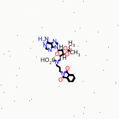 CC1(C)O[C@@H]2[C@H](O1)[C@@H](CN(CCCN1C(=O)c3ccccc3C1=O)C(=O)O)O[C@H]2n1cnc2c(N)ncnc21